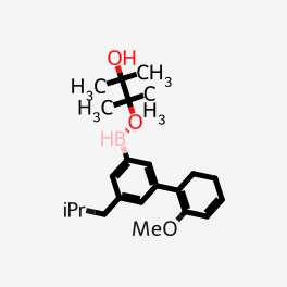 COC1=C(c2cc(BOC(C)(C)C(C)(C)O)cc(CC(C)C)c2)CCC=C1